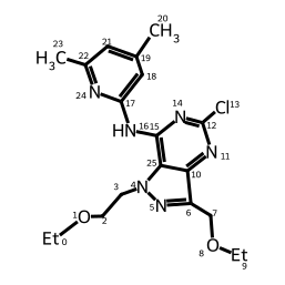 CCOCCn1nc(COCC)c2nc(Cl)nc(Nc3cc(C)cc(C)n3)c21